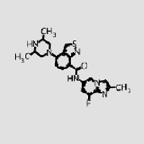 Cc1cn2cc(NC(=O)c3ccc(N4CC(C)NC(C)C4)c4csnc34)cc(F)c2n1